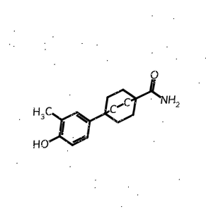 Cc1cc(C23CCC(C(N)=O)(CC2)CC3)ccc1O